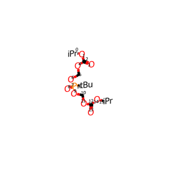 CC(C)OC(=O)OCOP(=O)(OCOC(=O)OC(C)C)C(C)(C)C